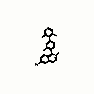 Cc1cc(-c2c(C)cccc2C)ccc1-c1c2ccc(C(C)C)cc2cc[n+]1C